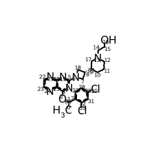 C[C@@H](Oc1nc(N2CC([C@H]3CCCN(CCO)C3)C2)nc2nccnc12)c1ccc(Cl)cc1Cl